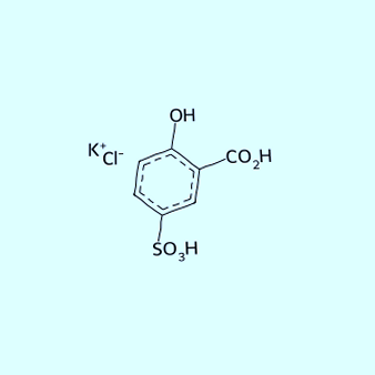 O=C(O)c1cc(S(=O)(=O)O)ccc1O.[Cl-].[K+]